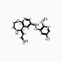 CCOc1ncc(Cl)cc1SNc1cnc2c(c1)/C(=C/C=N)NCCO2